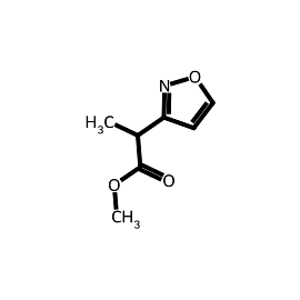 COC(=O)C(C)c1ccon1